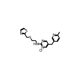 Cc1ccc(Cc2cnc(NCCSCc3nccs3)[n+]([O-])c2)cn1